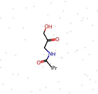 CC(C)C(=O)NCC(=O)CO